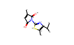 CC1=CC(=O)N(c2nc(C(C)C)c(C)s2)C1=O